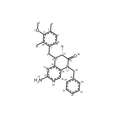 COc1c(C)cnc(CN2c3nc(N)ncc3N(Cc3ccccc3)C(=O)[C@H]2C)c1C